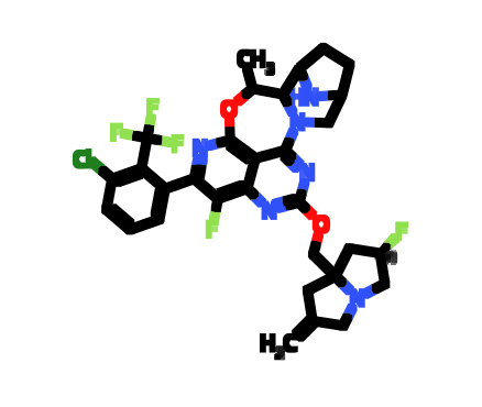 C=C1CN2C[C@H](F)CC2(COc2nc3c4c(nc(-c5cccc(Cl)c5C(F)(F)F)c(F)c4n2)OC(C)C2C4CCC(CN32)N4)C1